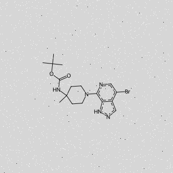 CC1(NC(=O)OC(C)(C)C)CCN(c2ncc(Br)c3cn[nH]c23)CC1